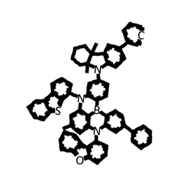 Cc1cc2c3c(c1)N(c1cccc4oc5ccccc5c14)c1cc(-c4ccccc4)ccc1B3c1ccc(N3c4ccc(-c5ccccc5)cc4C4(C)CCCCC34C)cc1N2c1cccc2c1sc1ccccc12